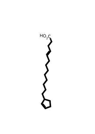 O=C(O)CCC=CCCCCCCCCC1C=CCC1